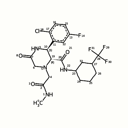 CNC(=O)CN1CC(=O)N[C@@H](c2cc(F)ccc2Cl)[C@@H]1C(=O)NC1CCCC(C(F)(F)F)C1